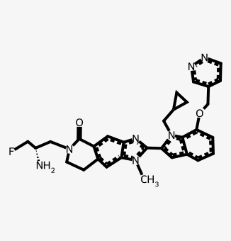 Cn1c(-c2cc3cccc(OCc4ccnnc4)c3n2CC2CC2)nc2cc3c(cc21)CCN(C[C@H](N)CF)C3=O